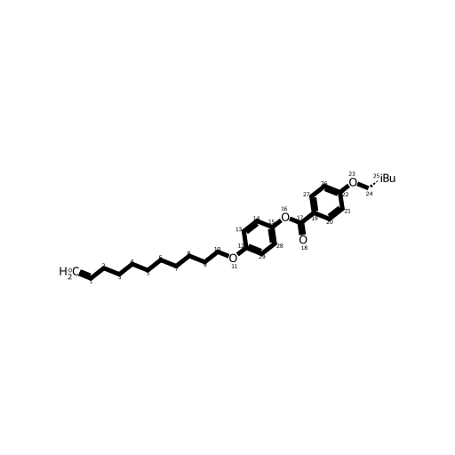 C=CCCCCCCCCCOc1ccc(OC(=O)c2ccc(OC[C@@H](C)CC)cc2)cc1